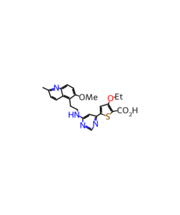 CCOc1cc(-c2cc(NCCc3c(OC)ccc4nc(C)ccc34)ncn2)sc1C(=O)O